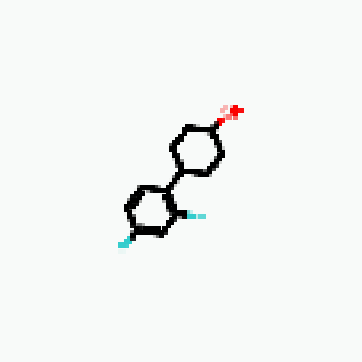 OC1CCC(c2ccc(F)cc2F)CC1